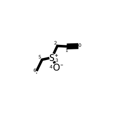 C#CC[S+]([O-])C[CH2]